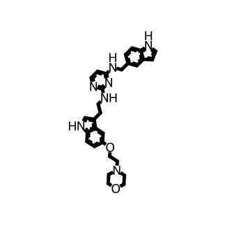 c1cc(NCc2ccc3[nH]ccc3c2)nc(NCCc2c[nH]c3ccc(OCCN4CCOCC4)cc23)n1